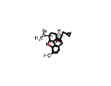 CC(=O)N(C)[C@H]1CC[C@@]2(O)[C@H]3Cc4ccc(O)c5c4[C@@]2(CCN3CC2CC2)[C@H]1O5